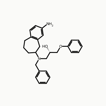 Nc1ccc2c(c1)CC(N(Cc1ccccc1)C[C@H](O)COc1ccccc1)CCC2